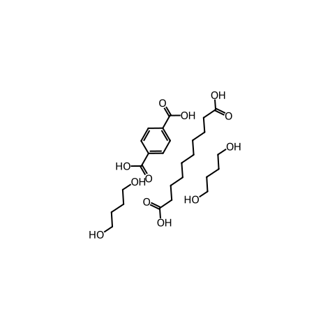 O=C(O)CCCCCCCCC(=O)O.O=C(O)c1ccc(C(=O)O)cc1.OCCCCO.OCCCCO